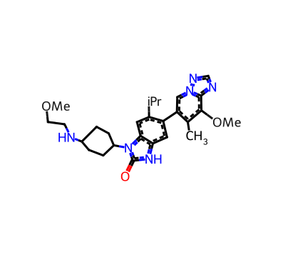 COCCNC1CCC(n2c(=O)[nH]c3cc(-c4cn5ncnc5c(OC)c4C)c(C(C)C)cc32)CC1